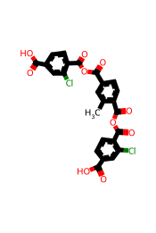 Cc1cc(C(=O)OC(=O)c2ccc(C(=O)O)cc2Cl)ccc1C(=O)OC(=O)c1ccc(C(=O)O)cc1Cl